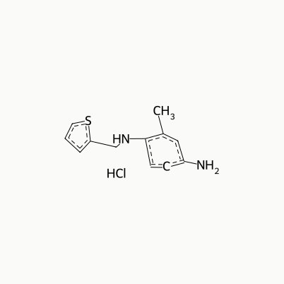 Cc1cc(N)ccc1NCc1cccs1.Cl